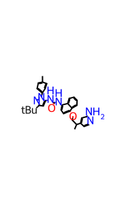 Cc1ccc(-n2nc(C(C)(C)C)cc2NC(=O)Nc2ccc(OCC(C)c3ccnc(N)c3)c3ccccc23)cc1